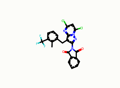 Cc1c(Cc2c(N3C(=O)c4ccccc4C3=O)nn3c(Cl)cc(Cl)nc23)cccc1C(F)(F)F